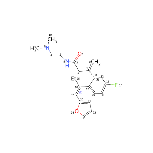 C=C(CC(=O)NCCN(C)C)[C@@H]1CC(F)=CC=C1/C(=C\c1ccco1)CC